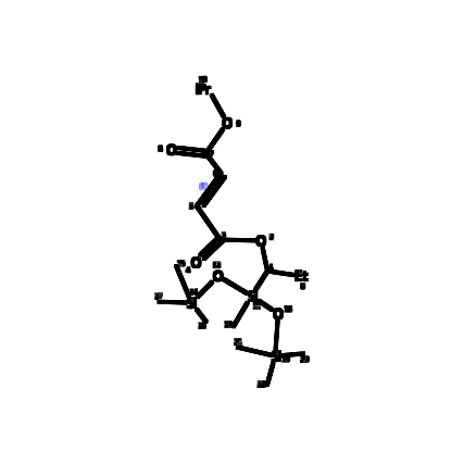 CCC(OC(=O)/C=C/C(=O)OC(C)C)[Si](C)(O[Si](C)(C)C)O[Si](C)(C)C